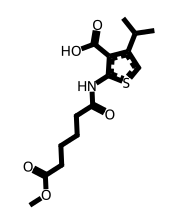 COC(=O)CCCCC(=O)Nc1scc(C(C)C)c1C(=O)O